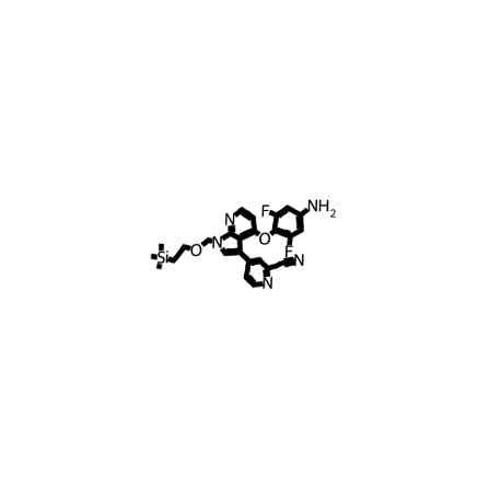 C[Si](C)(C)CCOCn1cc(-c2ccnc(C#N)c2)c2c(Oc3c(F)cc(N)cc3F)ccnc21